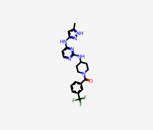 Cc1cc(Nc2ccnc(NC3CCN(C(=O)c4cccc(C(F)(F)F)c4)CC3)n2)n[nH]1